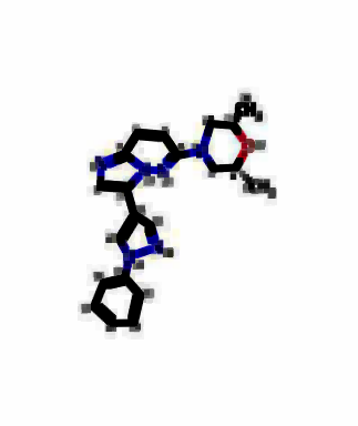 C[C@@H]1CN(c2ccc3ncc(-c4cnn(-c5ccccc5)c4)n3n2)C[C@H](C)O1